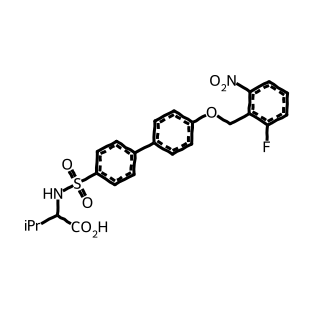 CC(C)C(NS(=O)(=O)c1ccc(-c2ccc(OCc3c(F)cccc3[N+](=O)[O-])cc2)cc1)C(=O)O